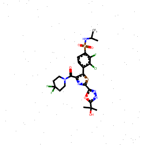 CC(NS(=O)(=O)c1ccc(-c2sc(-c3nnc(C(C)(C)O)o3)nc2C(=O)N2CCC(F)(F)CC2)c(Cl)c1F)C(F)(F)F